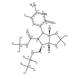 Cc1cc(C2[C@@H]3OC(C)(C)O[C@@H]3[C@@H](CO[Si](C)(C)C(C)(C)C)N2C(=O)OC(C)(C)C)c(=O)[nH]c1N